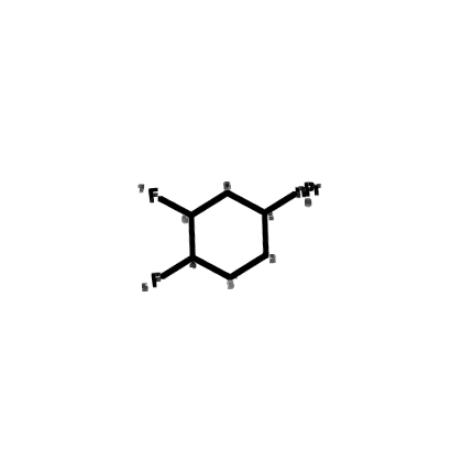 CCCC1C[CH]C(F)C(F)C1